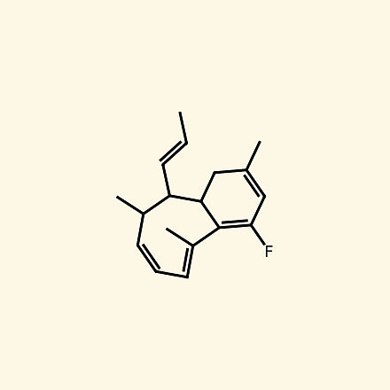 CC=CC1C(C)/C=C\C=C(/C)C2=C(F)C=C(C)CC21